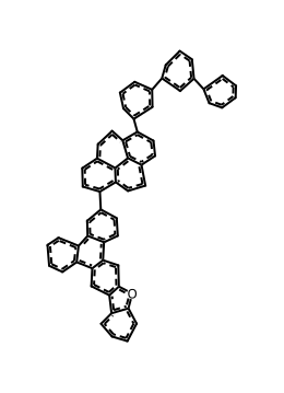 c1ccc(-c2cccc(-c3cccc(-c4ccc5ccc6c(-c7ccc8c(c7)c7ccccc7c7cc9c(cc87)oc7ccccc79)ccc7ccc4c5c76)c3)c2)cc1